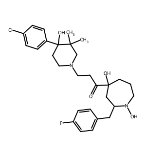 CC1(C)CN(CCC(=O)C2(O)CCCN(O)C(Cc3ccc(F)cc3)C2)CCC1(O)c1ccc(Cl)cc1